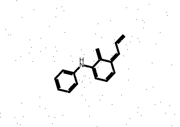 C=C/C=c1/cccc(Nc2ccccc2)c1=C